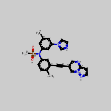 Cc1ccc(N(c2cc(-n3ccnc3)cc(C(F)(F)F)c2)S(C)(=O)=O)cc1C#Cc1cnc2ccnn2c1